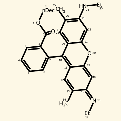 CCCCCCCCCCOC(=O)c1ccccc1-c1c2cc(C)/c(=N\CC)cc-2oc2cc(NCC)c(C)cc12